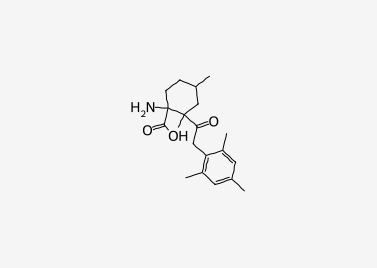 Cc1cc(C)c(CC(=O)C2(C)CC(C)CCC2(N)C(=O)O)c(C)c1